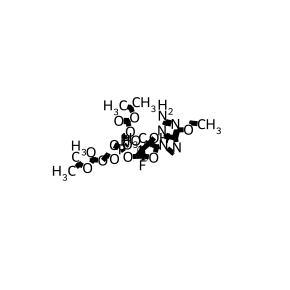 CCOc1nc(N)nc2c1ncn2C1O[C@]2(F)C(OP(=O)(OCOC(=O)OC(C)C)OCOC(=O)OC(C)C)[C@]2(O)[C@@]1(C)O